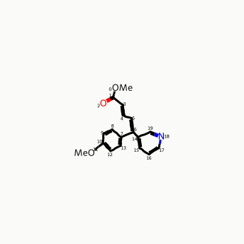 COC(=O)/C=C/C=C(\c1ccc(OC)cc1)c1cccnc1